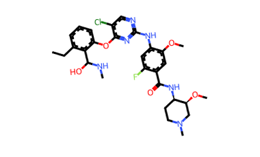 CCc1cccc(Oc2nc(Nc3cc(F)c(C(=O)N[C@@H]4CCN(C)C[C@@H]4OC)cc3OC)ncc2Cl)c1C(O)NC